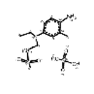 CCN(CNS(C)(=O)=O)c1ccc(N)c(C)c1.O=S(=O)(O)O